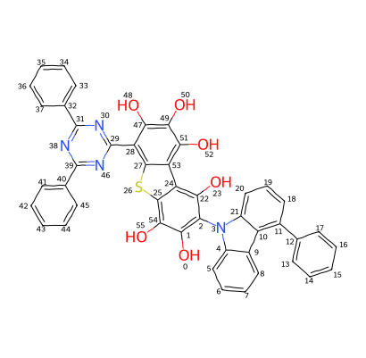 Oc1c(-n2c3ccccc3c3c(-c4ccccc4)cccc32)c(O)c2c(sc3c(-c4nc(-c5ccccc5)nc(-c5ccccc5)n4)c(O)c(O)c(O)c32)c1O